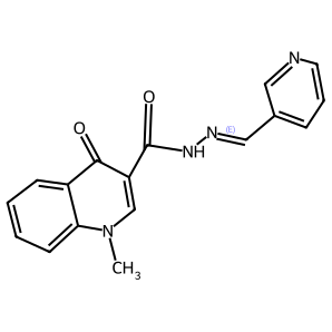 Cn1cc(C(=O)N/N=C/c2cccnc2)c(=O)c2ccccc21